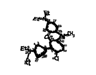 CCN(CC)c1ccc(-c2c(Cl)ccc(N(C)c3ccc(N(CC)CC)cc3)c2Cl)cc1